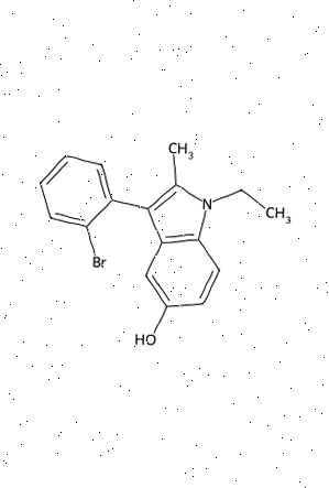 CCn1c(C)c(-c2ccccc2Br)c2cc(O)ccc21